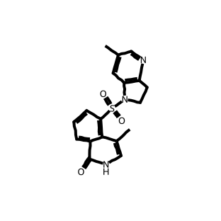 Cc1cnc2c(c1)N(S(=O)(=O)c1cccc3c(=O)[nH]cc(C)c13)CC2